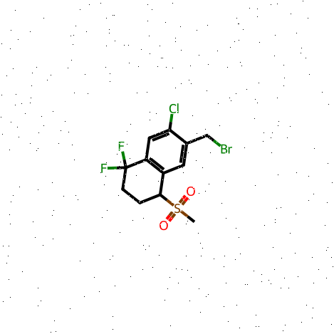 CS(=O)(=O)C1CCC(F)(F)c2cc(Cl)c(CBr)cc21